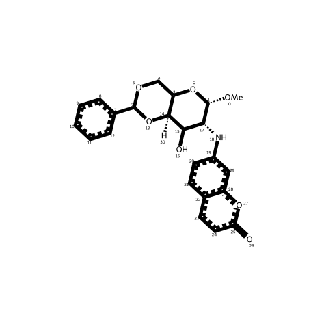 CO[C@H]1OC2COC(c3ccccc3)O[C@@H]2C(O)[C@H]1Nc1ccc2ccc(=O)oc2c1